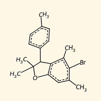 Cc1ccc(C2c3c(cc(C)c(Br)c3C)OC2(C)C)cc1